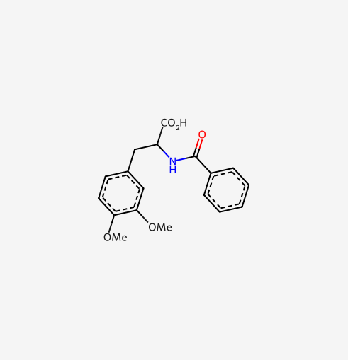 COc1ccc(CC(NC(=O)c2ccccc2)C(=O)O)cc1OC